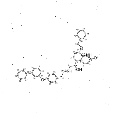 O=c1ccc2c([C@@H](O)CNCCc3ccc(Oc4cccc(-c5ccccc5)c4)cc3)ccc(OCc3ccccc3)c2[nH]1